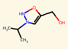 CC(C)N1C=C(CO)ON1